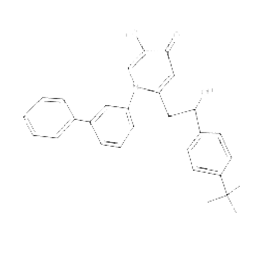 CC(C)(C)c1ccc(C(O)Cc2cc(=O)c(O)cn2-c2cccc(-c3ccccc3)c2)cc1